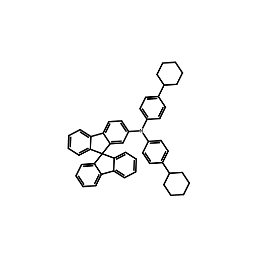 c1ccc2c(c1)-c1ccccc1C21c2ccccc2-c2ccc(N(c3ccc(C4CCCCC4)cc3)c3ccc(C4CCCCC4)cc3)cc21